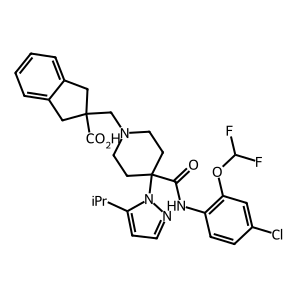 CC(C)c1ccnn1C1(C(=O)Nc2ccc(Cl)cc2OC(F)F)CCN(CC2(C(=O)O)Cc3ccccc3C2)CC1